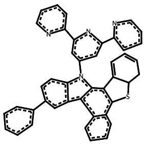 C1=CCC2Sc3c(c4c(c5ccccc35)c3cc(-c5ccccc5)ccc3n4-c3cc(-c4ccccn4)nc(-c4ccccn4)c3)C2=C1